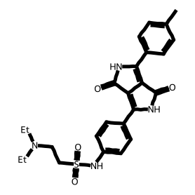 CCN(CC)CCS(=O)(=O)Nc1ccc(C2=C3C(=O)NC(c4ccc(C)cc4)=C3C(=O)N2)cc1